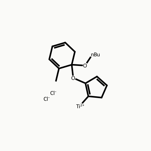 CCCCOC1(OC2=[C]([Ti+2])CC=C2)CC=CC=C1C.[Cl-].[Cl-]